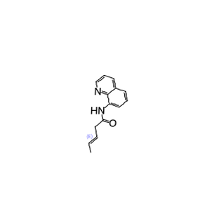 C/C=C/CC(=O)Nc1cccc2cccnc12